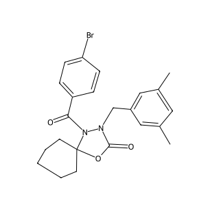 Cc1cc(C)cc(CN2C(=O)OC3(CCCCC3)N2C(=O)c2ccc(Br)cc2)c1